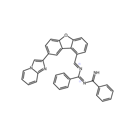 N=C(/N=C(\N=C\c1cccc2oc3ccc(-c4cn5ccccc5n4)cc3c12)c1ccccc1)c1ccccc1